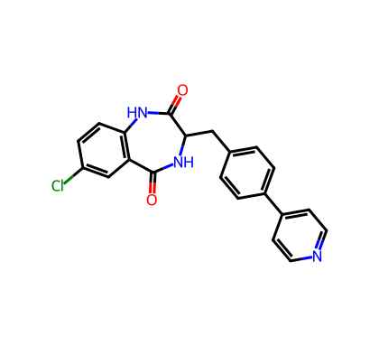 O=C1NC(Cc2ccc(-c3ccncc3)cc2)C(=O)Nc2ccc(Cl)cc21